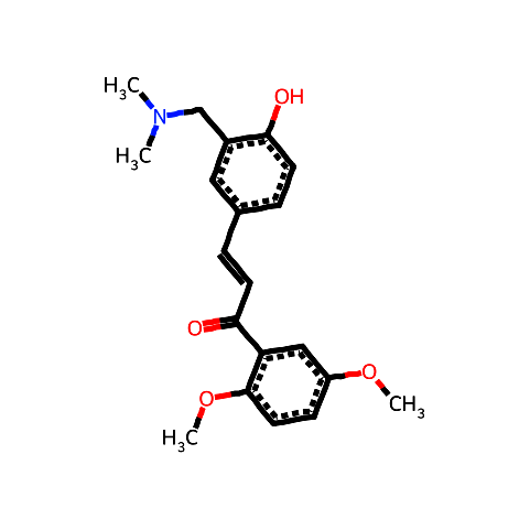 COc1ccc(OC)c(C(=O)/C=C/c2ccc(O)c(CN(C)C)c2)c1